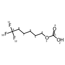 O=C(O)OCCCCCC(F)(F)F